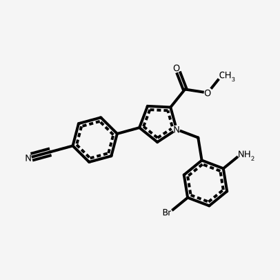 COC(=O)c1cc(-c2ccc(C#N)cc2)cn1Cc1cc(Br)ccc1N